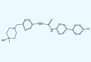 CC1(O)CCN(Cc2ccc(C#CC(=O)Nc3ccc(-c4ccc(Cl)cc4)cc3)cc2)CC1